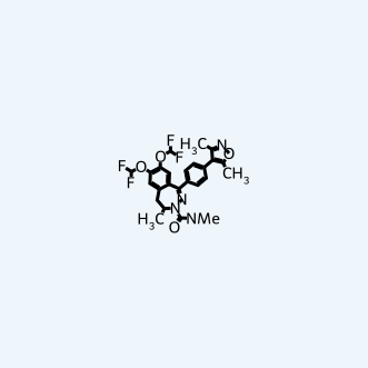 CNC(=O)N1N=C(c2ccc(-c3c(C)noc3C)cc2)c2cc(OC(F)F)c(OC(F)F)cc2CC1C